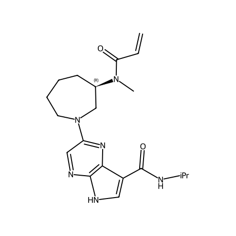 C=CC(=O)N(C)[C@@H]1CCCCN(c2cnc3[nH]cc(C(=O)NC(C)C)c3n2)C1